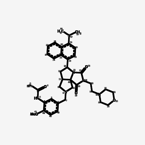 CCCC(=O)Nc1cc(CN2CC3CC(c4ccc(N(C)C)c5ccccc45)N4C(=O)N(CCN5CCOCC5)C(=O)C34C2)ccc1OC